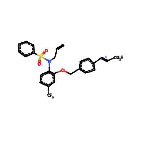 C=CCN(c1ccc(C(F)(F)F)cc1OCc1ccc(/C=C/C(=O)O)cc1)S(=O)(=O)c1ccccc1